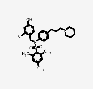 Cc1cc(C)c(S(=O)(=O)N(Cc2ccc(O)cc2Cl)c2ccc(CCCN3CCCCC3)cc2)c(C)c1